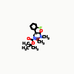 CON(C)C(=O)[C@H](CNC(=O)OC(C)(C)C)c1ccccc1F